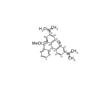 COC(=O)c1ccccc1C1c2ccc(N(C)C)cc2Oc2cc(N(C)C)ccc21